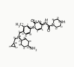 Cc1cc(-n2ccc(NC(=O)N3CCNCC3)nc2=O)ccc1CN(CC1CC1)C1CCC(N)CC1